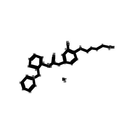 CCCCCCCCCCCCCCOc1ccc(CC(=O)Nc2ccccc2C[n+]2ccccc2)cc1Cl.[Br-]